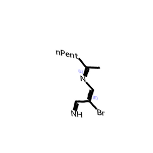 CCCCC/C(C)=N/C=C(/Br)C=N